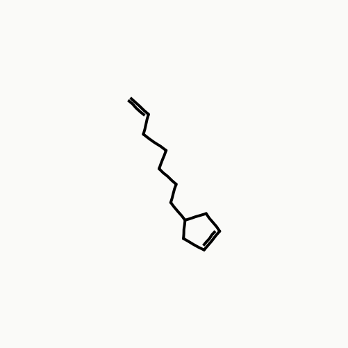 C=CCCCCCC1CC=CC1